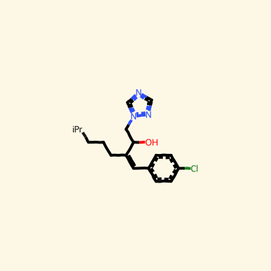 CC(C)CCCC(=Cc1ccc(Cl)cc1)C(O)Cn1cncn1